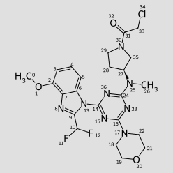 COc1cccc2c1nc(C(F)F)n2-c1nc(N2CCOCC2)nc(N(C)[C@H]2CCN(C(=O)CCl)C2)n1